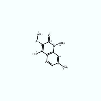 CCCCOc1c(O)c2ccc([N+](=O)[O-])cc2n(CCCC)c1=O